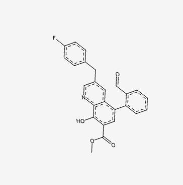 COC(=O)c1cc(-c2ccccc2C=O)c2cc(Cc3ccc(F)cc3)cnc2c1O